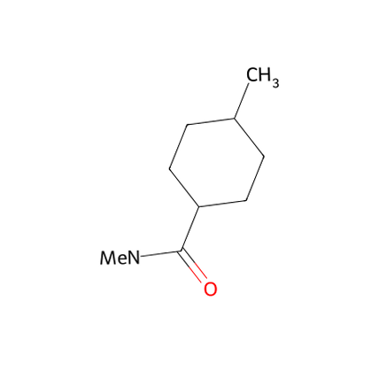 CNC(=O)C1CCC(C)CC1